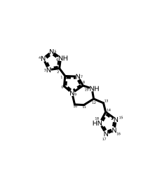 c1c(-c2nnn[nH]2)nc2n1CCC(Cc1nnn[nH]1)N2